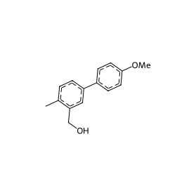 COc1ccc(-c2ccc(C)c(CO)c2)cc1